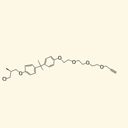 C#CCOCCOCCOCCOc1ccc(C(C)(C)c2ccc(OC[C@H](C)CCl)cc2)cc1